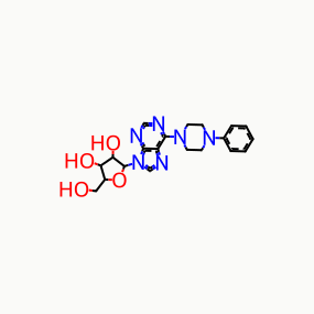 OCC1OC(n2cnc3c(N4CCN(c5ccccc5)CC4)ncnc32)C(O)C1O